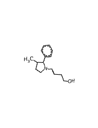 CC1CCN(CCCCO)C1c1ccccc1